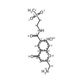 CS(=O)(=O)CCNC(=O)c1ccc2oc(CN)cc(=O)c2c1.Cl